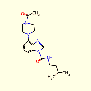 CC(=O)N1CCN(c2cccc3c2ncn3C(=O)NCCC(C)C)CC1